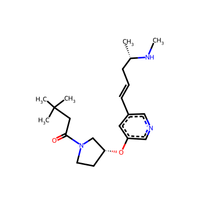 CN[C@@H](C)C/C=C/c1cncc(O[C@@H]2CCN(C(=O)CC(C)(C)C)C2)c1